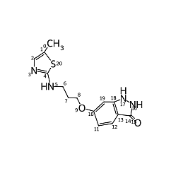 Cc1cnc(NCCCOc2ccc3c(=O)[nH][nH]c3c2)s1